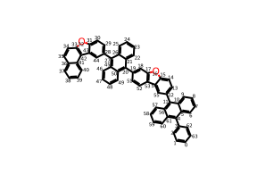 c1ccc(-c2c3ccccc3c(-c3ccc4oc5cc(-c6c7ccccc7c(-c7ccc8oc9ccc%10ccccc%10c9c8c7)c7ccccc67)ccc5c4c3)c3ccccc23)cc1